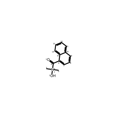 C[N+](C)(O)C(=O)c1cccc2ccccc12